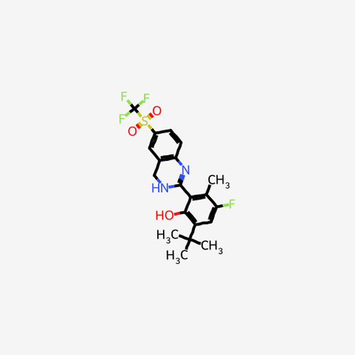 Cc1c(F)cc(C(C)(C)C)c(O)c1C1=Nc2ccc(S(=O)(=O)C(F)(F)F)cc2CN1